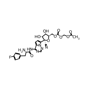 CC(=O)OCOC(=O)OC[C@H]1O[C@@](C#N)(c2ccc3c(NC(=O)[C@@H](N)Cc4ccc(F)cc4)ncnn23)[C@H](O)[C@@H]1O